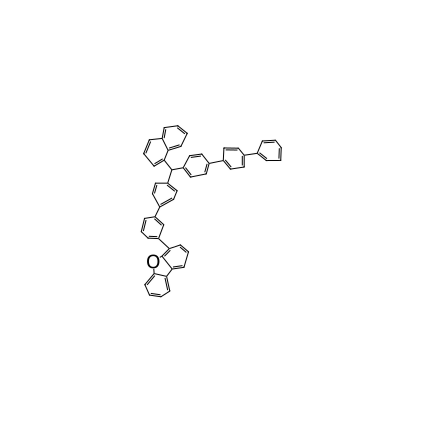 c1ccc(-c2ccc(-c3ccc(C(c4ccc(-c5cccc(-c6cccc7c6oc6ccccc67)c5)cc4)c4cccc5ccccc45)cc3)cc2)cc1